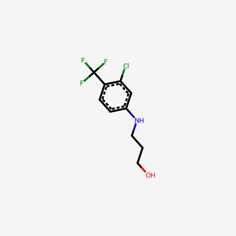 OCCCNc1ccc(C(F)(F)F)c(Cl)c1